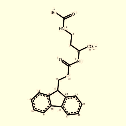 CC(C)(C)C(=O)NCCC(NC(=O)OCC1c2ccccc2-c2ccccc21)C(=O)O